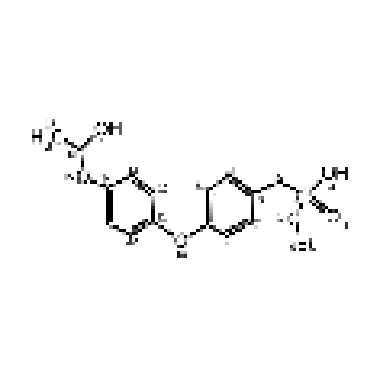 CCOP(=O)(O)Cc1ccc(Oc2ccc(OC(C)O)cc2)cc1